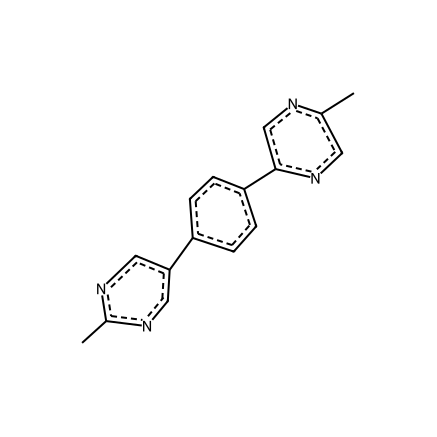 Cc1cnc(-c2ccc(-c3cnc(C)nc3)cc2)cn1